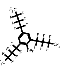 CC[CH]c1c(C(F)(F)C(F)(F)C(F)(F)C(F)(F)F)cc(C(F)(F)C(F)(F)C(F)(F)C(F)(F)F)cc1C(F)(F)C(F)(F)C(F)(F)C(F)(F)F